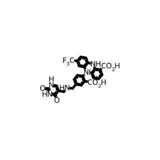 O=C(O)c1ccccc1Nc1ccc(C(F)(F)F)cc1Nc1ccc(CNCc2c[nH]c(=O)[nH]c2=O)cc1C(=O)O